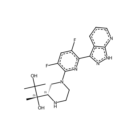 CC(C)(O)[C@@](C)(O)[C@@H]1CN(c2nc(-c3n[nH]c4ncccc34)c(F)cc2F)CCN1